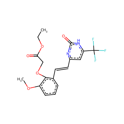 CCOC(=O)COc1c(/C=C/c2cc(C(F)(F)F)[nH]c(=O)n2)cccc1OC